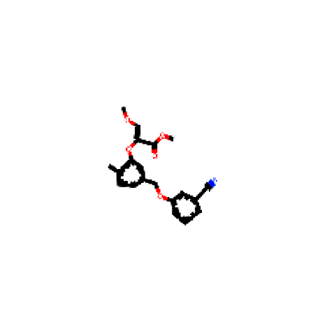 CO/C=C(\Oc1cc(COc2cccc(C#N)c2)ccc1C)C(=O)OC